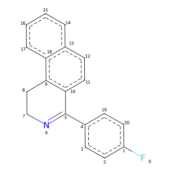 Fc1ccc(C2=NCCc3c2ccc2ccccc32)cc1